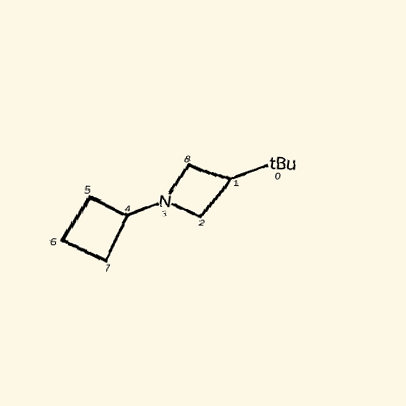 CC(C)(C)C1CN(C2CCC2)C1